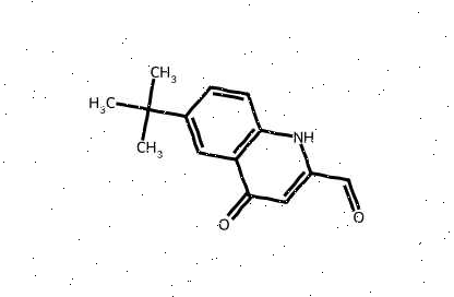 CC(C)(C)c1ccc2[nH]c(C=O)cc(=O)c2c1